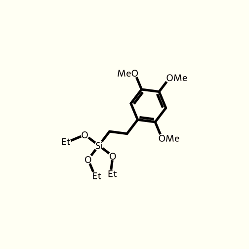 CCO[Si](CCc1cc(OC)c(OC)cc1OC)(OCC)OCC